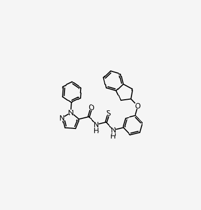 O=C(NC(=S)Nc1cccc(OC2Cc3ccccc3C2)c1)c1ccnn1-c1ccccc1